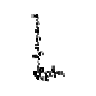 Nc1ncnc2c1c(-c1ccc3c(c1)NC(N)O3)nn2CCCCNC(=O)CCOCCOCCOCCOCCO